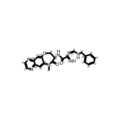 CN1C(=O)[C@@H](NC(=O)C(=N)/N=C\NCc2ccccc2)COc2cc3nccnc3cc21